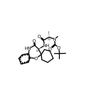 C[C@@H](C(=O)N[C@@H]1C(=O)Nc2ccccc2OC12CCCCC2)N(C)C(=O)OC(C)(C)C